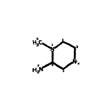 CN1CC[N]CC1N